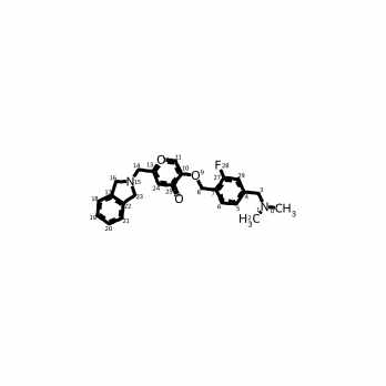 CN(C)Cc1ccc(COc2coc(CN3Cc4ccccc4C3)cc2=O)c(F)c1